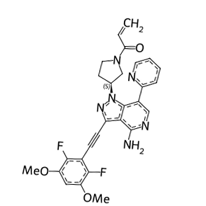 C=CC(=O)N1CC[C@H](n2nc(C#Cc3c(F)c(OC)cc(OC)c3F)c3c(N)ncc(-c4ccccn4)c32)C1